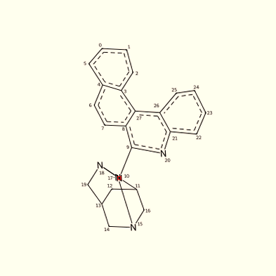 c1ccc2c(c1)ccc1c(N3C4CC5CN(C4)[N]N3C5)nc3ccccc3c12